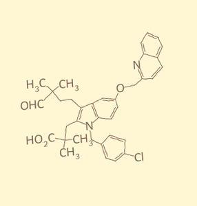 CC(C)(C=O)CCc1c(CC(C)(C)C(=O)O)n(Cc2ccc(Cl)cc2)c2ccc(OCc3ccc4ccccc4n3)cc12